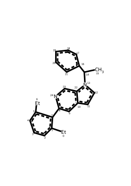 CCc1cccc(CC)c1-c1cc2ccn(C(C)c3ccccc3)c2cn1